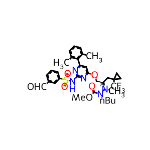 CCCCN(C(=O)OC)N(C)[C@@H](COc1cc(-c2c(C)cccc2C)nc(NS(=O)(=O)c2cccc(C=O)c2)n1)CC1(C(F)(F)F)CC1